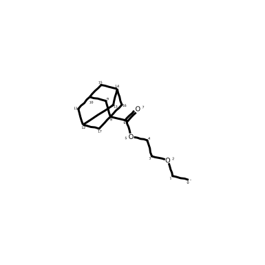 [CH2]COCCOC(=O)C12CC3CC(CC(C3)C1)C2